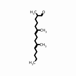 CCCC/C=C(\C)CC/C=C(\C)CCCC(C)C=O